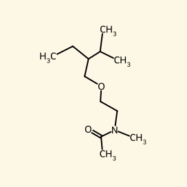 CCC(COCCN(C)C(C)=O)C(C)C